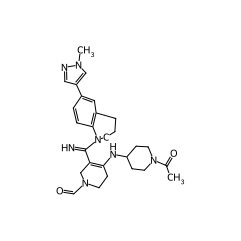 CC(=O)N1CCC(NC2=C(C(=N)N3CCCc4cc(-c5cnn(C)c5)ccc43)CN(C=O)CC2)CC1